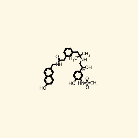 CC(C)(Cc1cccc(CC(=O)NCc2ccc3cc(O)ccc3c2)c1)NC[C@@H](O)c1ccc(O)c(NS(C)(=O)=O)c1